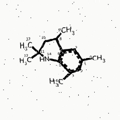 Cc1cc(C)c2c(c1)C(C)CC(C)(C)N2